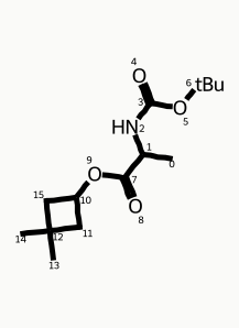 CC(NC(=O)OC(C)(C)C)C(=O)OC1CC(C)(C)C1